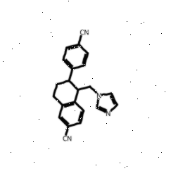 N#Cc1ccc(C2CCc3cc(C#N)ccc3C2Cn2ccnc2)cc1